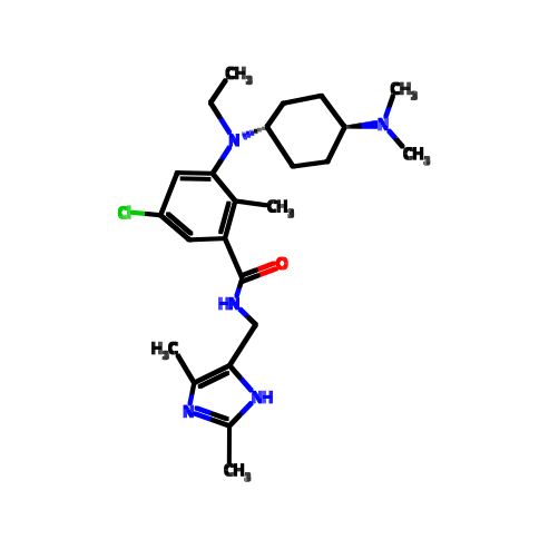 CCN(c1cc(Cl)cc(C(=O)NCc2[nH]c(C)nc2C)c1C)[C@H]1CC[C@H](N(C)C)CC1